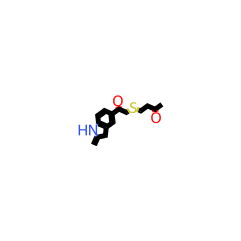 C=C1Cc2cc(C(=O)CSCCC(C)=O)ccc2N1